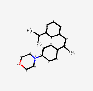 CC(C)C1CCCC(CC(C)C2CCC(N3CCOCC3)CC2)C1